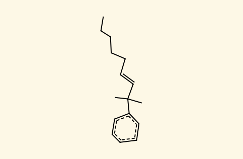 CCCCCC=CC(C)(C)c1ccccc1